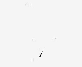 CCCO[C@@]1(C)CO1